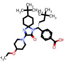 CCOC1CCN(C2=NC3(CCC(C(C)(C)C)CC3)N([C@H](CCC(C)(C)C)c3ccc(C(=O)O)cc3)C2=O)CC1